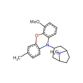 COc1cccc2c1Oc1cc(C)ccc1N2C1CC2CCC(C1)N2C